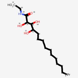 CC(C)CCCCCCCCCCC(O)C(O)C(O)C(=O)NCC(=O)O